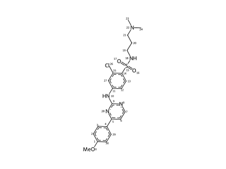 COc1ccc(-c2ccnc(Nc3ccc(S(=O)(=O)NCCCN(C)C)c(Cl)c3)n2)cc1